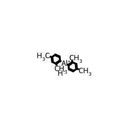 Cc1cc[c]([Al+][c]2ccc(C)cc2C)c(C)c1.[H-]